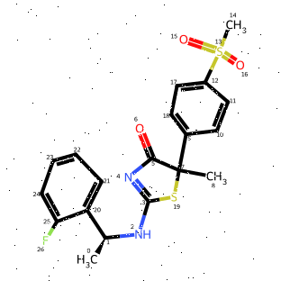 C[C@H](NC1=NC(=O)C(C)(c2ccc(S(C)(=O)=O)cc2)S1)c1ccccc1F